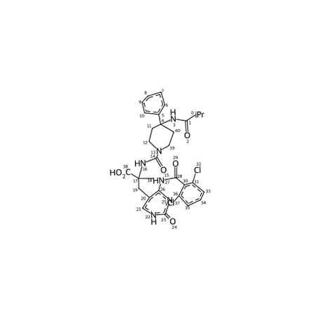 CC(C)C(=O)NC1(c2ccccc2)CCN(C(=O)NC(C)(Cc2c[nH]c(=O)nc2NC(=O)c2c(Cl)cccc2Cl)C(=O)O)CC1